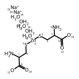 NC(C[S][Zn][S]CC(N)C(=O)[O-])C(=O)[O-].O.O.O.O.O.[Na+].[Na+]